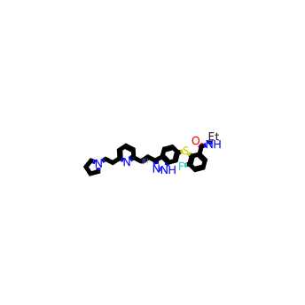 CCNC(=O)c1cccc(F)c1Sc1ccc2c(/C=C/c3cccc(CCN4CCCC4)n3)n[nH]c2c1